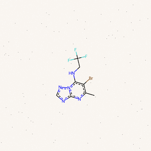 Cc1nc2ncnn2c(NCC(F)(F)F)c1Br